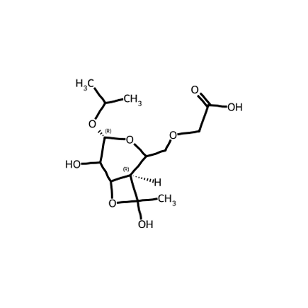 CC(C)O[C@@H]1OC(COCC(=O)O)[C@@H]2C(OC2(C)O)C1O